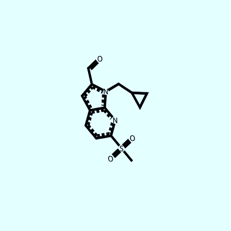 CS(=O)(=O)c1ccc2cc(C=O)n(CC3CC3)c2n1